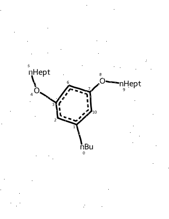 [CH2]CCCc1cc(OCCCCCCC)cc(OCCCCCCC)c1